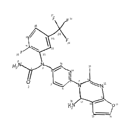 NC(=O)N(c1ccc(N2C(I)=Nc3occc3C2N)cc1)c1cc(C(F)(F)F)ccc1F